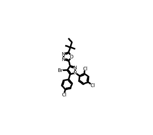 CCC(C)(C)c1nnc(-c2nn(-c3ccc(Cl)cc3Cl)c(-c3ccc(Cl)cc3)c2Br)o1